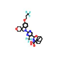 O=C(NC1(C(=O)O)C2CC3CC(C2)CC1C3)c1cnc(N2CC3(CCOCC3)c3cc(OCCC(F)(F)F)ccc32)nc1C(F)(F)F